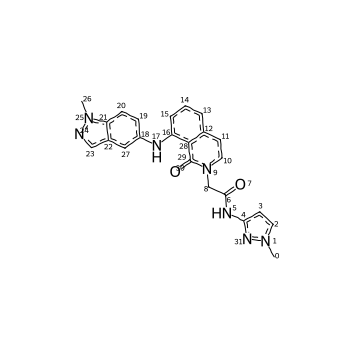 Cn1ccc(NC(=O)Cn2ccc3cccc(Nc4ccc5c(cnn5C)c4)c3c2=O)n1